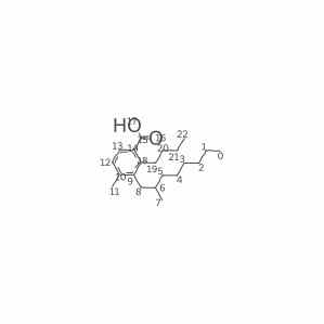 CCCCCCC(C)Cc1c(C)ccc(C(=O)O)c1CCCC